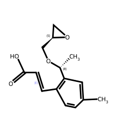 Cc1ccc(/C=C/C(=O)O)c([C@@H](C)OC[C@H]2CO2)c1